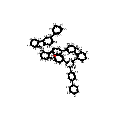 c1ccc(-c2ccc(-c3nc(-c4ccccc4)nc(-c4cccc5oc6ccc(-c7ccc8c(c7)oc7cccc(-n9c%10ccccc%10c%10cc(-c%11ccccc%11)ccc%109)c78)cc6c45)n3)cc2)cc1